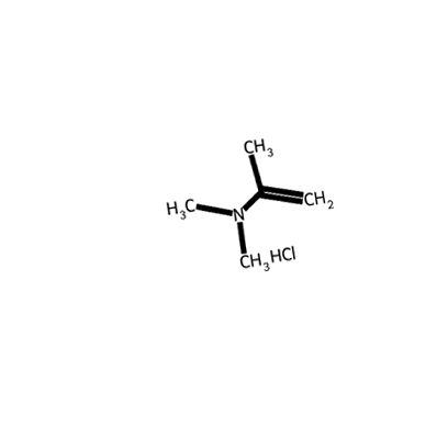 C=C(C)N(C)C.Cl